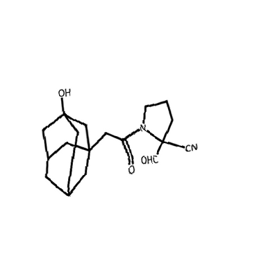 N#CC1(C=O)CCCN1C(=O)CC12CC3CC(CC(O)(C3)C1)C2